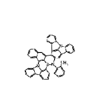 Cc1ccccc1N1B2c3c(cc4ccccc4c3-n3c4ccccc4c4cccc2c43)-c2c1cc1c3ccccc3n3c4ccccc4c2c13